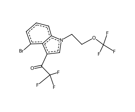 O=C(c1cn(CCOC(F)(F)F)c2cccc(Br)c12)C(F)(F)F